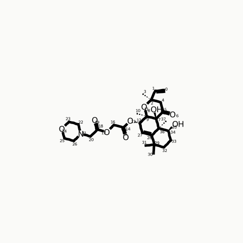 C=C[C@@]1(C)CC(=O)[C@@]2(O)[C@](C)(O1)[C@@H](OC(=O)COC(=O)CN1CCOCC1)C=C1C(C)(C)CC[C@H](O)[C@@]12C